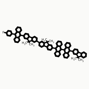 CC1(C)c2cc(-c3ccc4c(c3)C(C)(C)c3cc(-c5c6ccccc6c(-c6c7ccccc7c(-c7ccc8c(c7)C(C)(C)c7ccccc7-8)c7ccccc67)c6ccccc56)ccc3-4)ccc2-c2ccc(-c3c4ccccc4c(-c4ccc(F)cc4)c4ccccc34)cc21